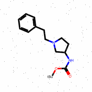 CC(C)(C)OC(=O)NC1CCN(CCc2ccccc2)C1